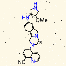 CO[C@@H]1CNC[C@H]1NC1=CCC2=C3CN(c4ccc(C#N)c5ncccc45)C[C@@H](C)N3CC2=C1